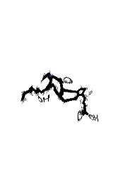 C/C=C1/C(=O)C2C(CC[C@@]3(C)C2CCC3[C@H](C)CCC(=O)O)CC1C[C@H](O)CCCC